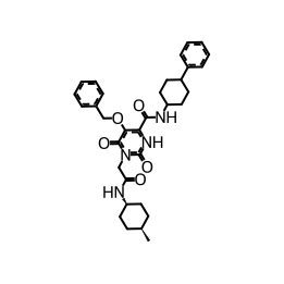 C[C@H]1CC[C@@H](NC(=O)Cn2c(=O)[nH]c(C(=O)NC3CCC(c4ccccc4)CC3)c(OCc3ccccc3)c2=O)CC1